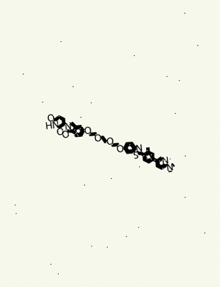 Cc1cc(-c2ccc(N(C)C)nc2)ccc1-c1nc2ccc(OCCOCCOCCOc3ccc4c(c3)CN(C3CCC(=O)NC3=O)C4=O)cc2s1